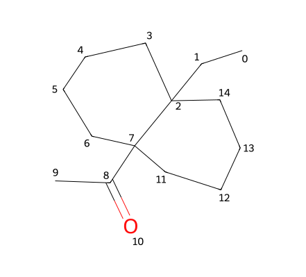 CCC12CCCCC1(C(C)=O)CCCC2